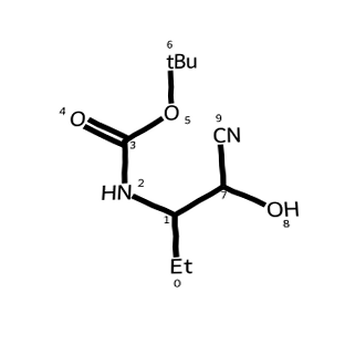 CCC(NC(=O)OC(C)(C)C)C(O)C#N